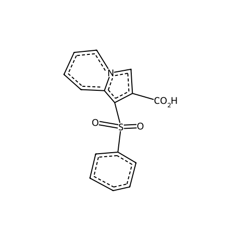 O=C(O)c1cn2ccccc2c1S(=O)(=O)c1ccccc1